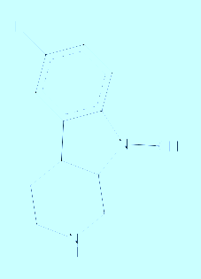 CN1c2ccc(F)cc2C2CCNCC21